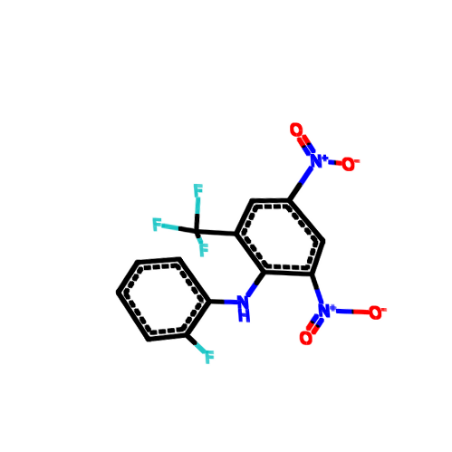 O=[N+]([O-])c1cc([N+](=O)[O-])c(Nc2ccccc2F)c(C(F)(F)F)c1